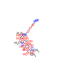 COC1OC(CO)C(O)C(OC2OC(C(=O)O)C(OC3OC(CO)C(O)C(OC4OC(C(=O)NCCOCCOCCOCCN=[N+]=[N-])C(OC)C(O)C4O)C3NC(C)=O)C(O)C2O)C1NC(C)=O